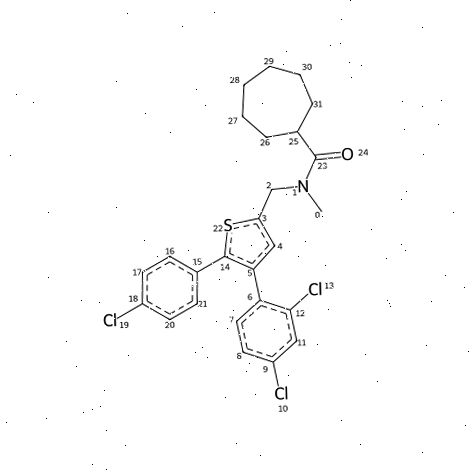 CN(Cc1cc(-c2ccc(Cl)cc2Cl)c(-c2ccc(Cl)cc2)s1)C(=O)C1CCCCCC1